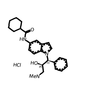 CNC[C@@H](O)[C@H](c1ccccc1)n1ccc2cc(NC(=O)C3CCCCC3)ccc21.Cl